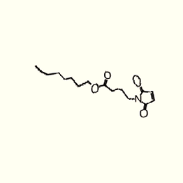 CCCCCCCOC(=O)CCCN1C(=O)C=CC1=O